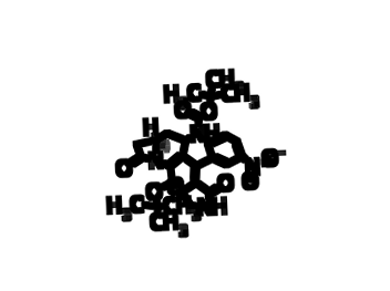 CC(C)(C)OC(=O)NC1C[C@@H]2CC(=O)N2C(C(=O)OC(C)(C)C)=C1C(=C1CCNC1=O)c1cccc([N+](=O)[O-])c1